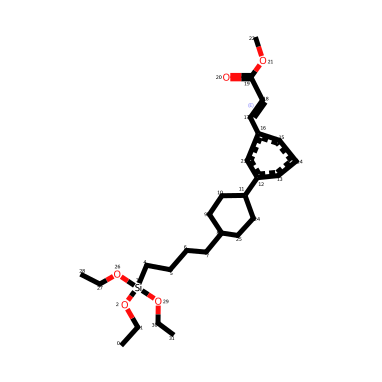 CCO[Si](CCCCC1CCC(c2cccc(/C=C/C(=O)OC)c2)CC1)(OCC)OCC